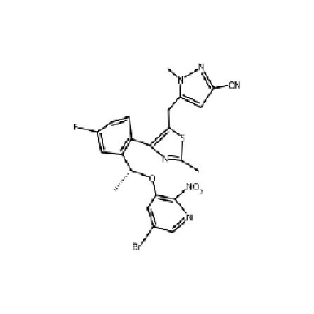 Cc1nc(-c2ccc(F)cc2[C@@H](C)Oc2cc(Br)cnc2[N+](=O)[O-])c(Cc2cc(C#N)nn2C)s1